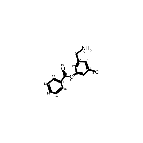 NCc1[c]c(Cl)cc(OC(=O)c2ccccc2)c1